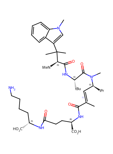 CN[C@H](C(=O)N[C@H](C(=O)N(C)[C@H](/C=C(\C)C(=O)N[C@H](CCC(=O)N[C@@H](CCCCN)C(=O)O)C(=O)O)C(C)C)C(C)(C)C)C(C)(C)c1cn(C)c2ccccc12